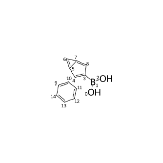 OB(O)c1cc2cc-2c1.[c]1ccccc1